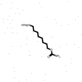 CCCCCCCCCCCCCCCOC(N)=O